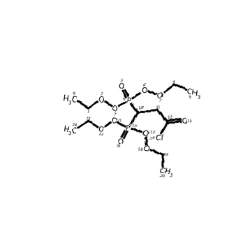 CCOOP(=O)(OOCC)C(CC(=O)Cl)P(=O)(OOCC)OOCC